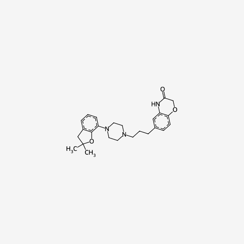 CC1(C)Cc2cccc(N3CCN(CCCc4ccc5c(c4)NC(=O)CO5)CC3)c2O1